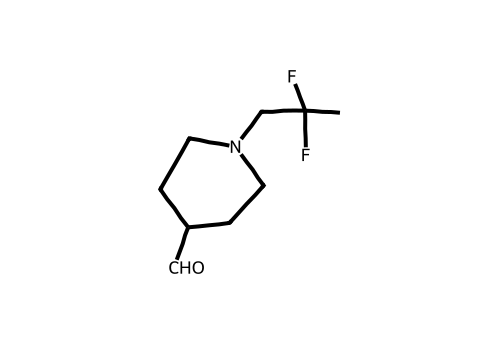 CC(F)(F)CN1CCC(C=O)CC1